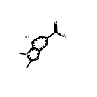 Cc1cc2cc(C(N)=O)ccc2n1C.Cl